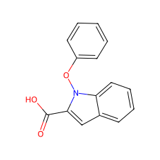 O=C(O)c1cc2ccccc2n1Oc1ccccc1